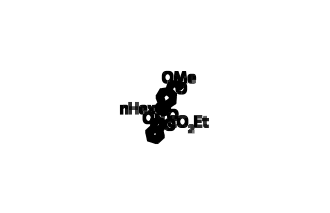 CCCCCCc1c2ccc(CC(=O)OC)ccc-2c(OC(=O)OCC)c1N1C(=O)c2ccccc2C1=O